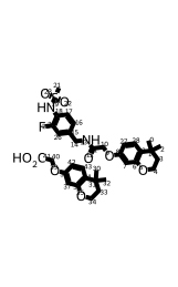 CC1(C)CCOc2cc(OCC(=O)NCc3ccc(NS(C)(=O)=O)c(F)c3)ccc21.CC1(C)CCOc2cc(OCC(=O)O)ccc21